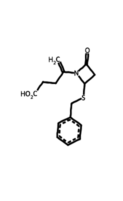 C=C(CCC(=O)O)N1C(=O)CC1SCc1ccccc1